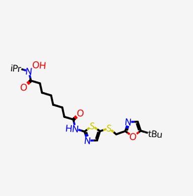 CC(C)N(O)C(=O)CCCCCCC(=O)Nc1ncc(SCc2ncc(C(C)(C)C)o2)s1